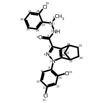 CN(NC(=O)c1nn(-c2ccc(Cl)cc2Cl)c2c1C1CCC2C1)c1ccccc1Cl